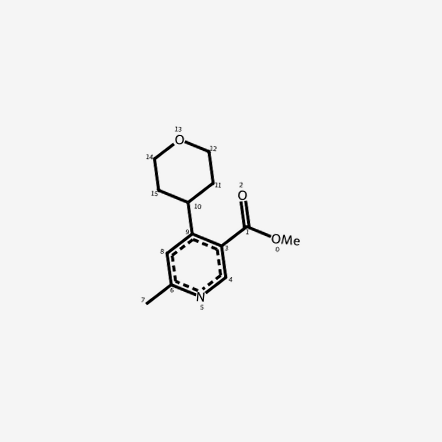 COC(=O)c1cnc(C)cc1C1CCOCC1